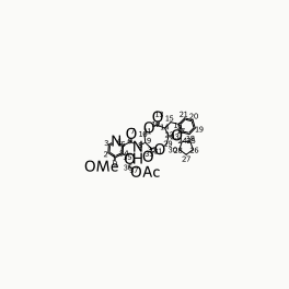 COc1ccnc(C(=O)N[C@H]2COC(=O)C(Cc3ccccc3)[C@@H](OC3CCCC3)[C@H](C)OC2=O)c1OCOC(C)=O